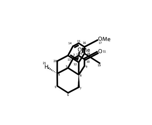 COC1=CC2[C@H]3CCC[C@]2(CC1=O)c1c(ccc(OC)c1C)C3